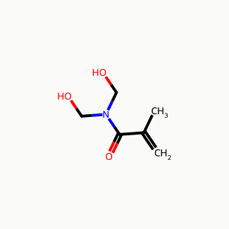 C=C(C)C(=O)N(CO)CO